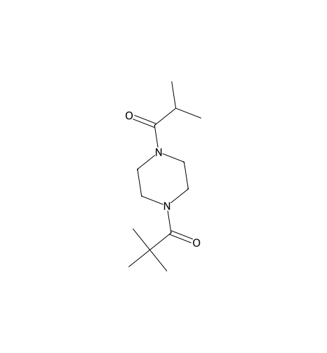 CC(C)C(=O)N1CCN(C(=O)C(C)(C)C)CC1